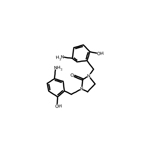 Nc1ccc(O)c(CN2CCN(Cc3cc(N)ccc3O)C2=O)c1